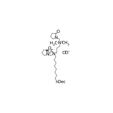 CCCCCCCCCCCCCCCCCC[N+](C)(CCC[N+](C)(C)CN1CCCC1=O)CN1CCCC1=O.[Cl-].[Cl-]